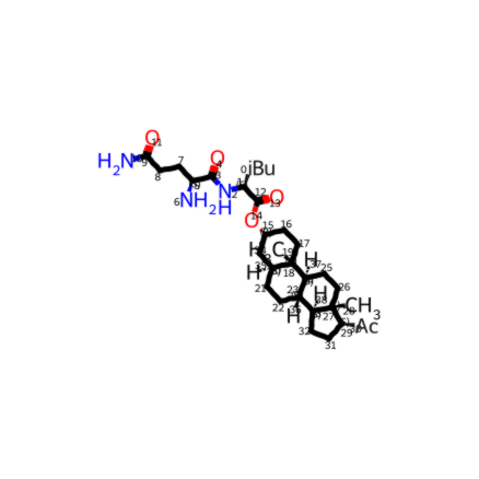 CCC(C)[C@H](NC(=O)[C@@H](N)CCC(N)=O)C(=O)O[C@@H]1CC[C@@]2(C)[C@@H](CC[C@@H]3[C@@H]2CC[C@]2(C)[C@@H](C(C)=O)CC[C@@H]32)C1